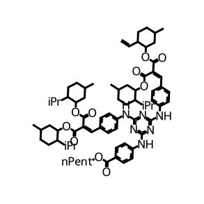 C=CC1CCC(C)CC1OC(=O)/C(=C/c1ccc(Nc2nc(Nc3ccc(C=C(C(=O)OC4CC(C)CCC4C(C)C)C(=O)OC4CC(C)CCC4C(C)C)cc3)nc(Nc3ccc(C(=O)OCCCCC)cc3)n2)cc1)C(=O)OC1CC(C)CCC1C(C)C